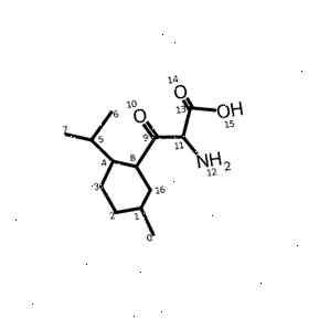 CC1CCC(C(C)C)C(C(=O)C(N)C(=O)O)C1